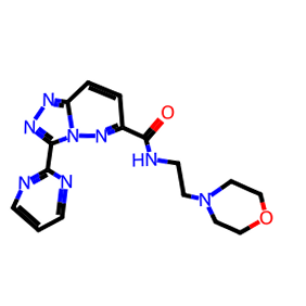 O=C(NCCN1CCOCC1)c1ccc2nnc(-c3ncccn3)n2n1